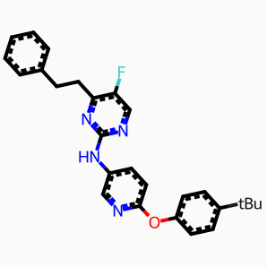 CC(C)(C)c1ccc(Oc2ccc(Nc3ncc(F)c(CCc4ccccc4)n3)cn2)cc1